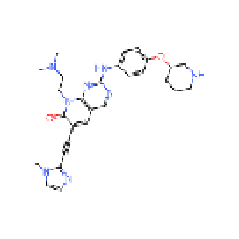 CN(C)CCn1c(=O)c(C#Cc2nccn2C)cc2cnc(Nc3ccc(OC4CCCNC4)cc3)nc21